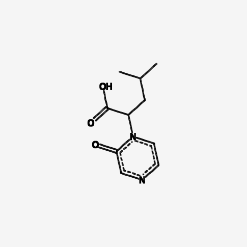 CC(C)CC(C(=O)O)n1ccncc1=O